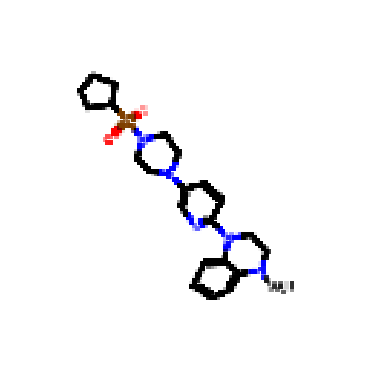 O=C(O)N1CCN(c2ccc(N3CCN(S(=O)(=O)C4CCCC4)CC3)cn2)c2ccccc21